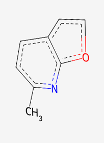 Cc1ccc2ccoc2n1